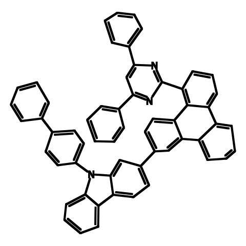 c1ccc(-c2ccc(-n3c4ccccc4c4ccc(-c5ccc6c(c5)c5ccccc5c5cccc(-c7nc(-c8ccccc8)cc(-c8ccccc8)n7)c56)cc43)cc2)cc1